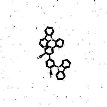 N#Cc1ccc(-c2ccccc2-n2c3ccccc3c3ccccc32)cc1-c1ccc(C#N)c(-n2c3ccccc3c3ccccc32)c1